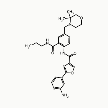 CCCNC(=O)c1cc(CN2CCOCC2(C)C)ccc1NC(=O)c1coc(-c2ccnc(N)c2)n1